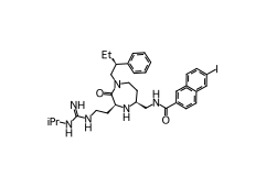 CC[C@H](CN1CC[C@@H](CNC(=O)c2ccc3cc(I)ccc3c2)N[C@@H](CCNC(=N)NC(C)C)C1=O)c1ccccc1